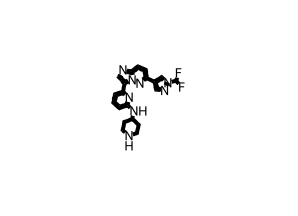 FC(F)n1cc(-c2ccc3ncc(-c4cccc(NC5CCNCC5)n4)n3n2)cn1